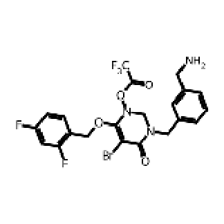 NCc1cccc(CN2CN(OC(=O)C(F)(F)F)C(OCc3ccc(F)cc3F)=C(Br)C2=O)c1